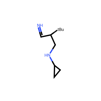 CC(C)(C)C(C=N)CNC1CC1